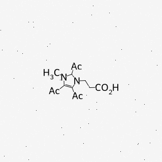 CC(=O)C1=C(C(C)=O)N(CCC(=O)O)C(C(C)=O)N1C